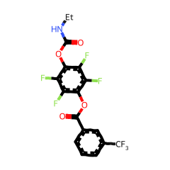 CCNC(=O)Oc1c(F)c(F)c(OC(=O)c2cccc(C(F)(F)F)c2)c(F)c1F